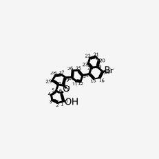 Oc1cccc2c1oc1c(-c3ccc(-c4ccc(Br)c5ccccc45)cc3)cccc12